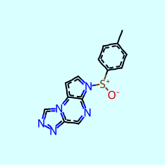 Cc1ccc([S+]([O-])n2ccc3c2ncc2nncn23)cc1